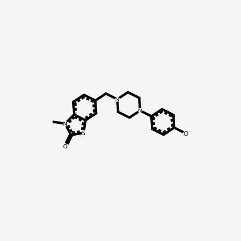 Cn1c(=O)sc2cc(CN3CCN(c4ccc(Cl)cc4)CC3)ccc21